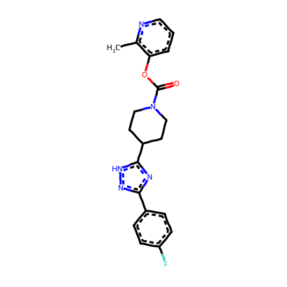 Cc1ncccc1OC(=O)N1CCC(c2nc(-c3ccc(F)cc3)n[nH]2)CC1